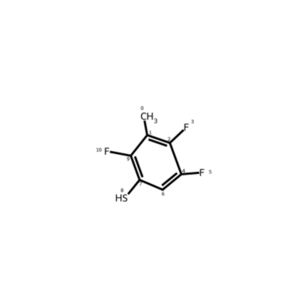 Cc1c(F)c(F)cc(S)c1F